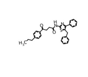 CCCc1ccc(C(=O)CCC(=O)Nc2nc(-c3ccccc3)c(Cc3ccccc3)s2)cc1